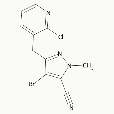 Cn1nc(Cc2cccnc2Cl)c(Br)c1C#N